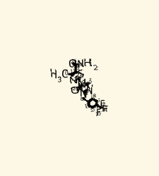 Cc1nc(-n2cnn(Cc3ccc(C(F)(F)F)cc3)c2=O)sc1C(N)=O